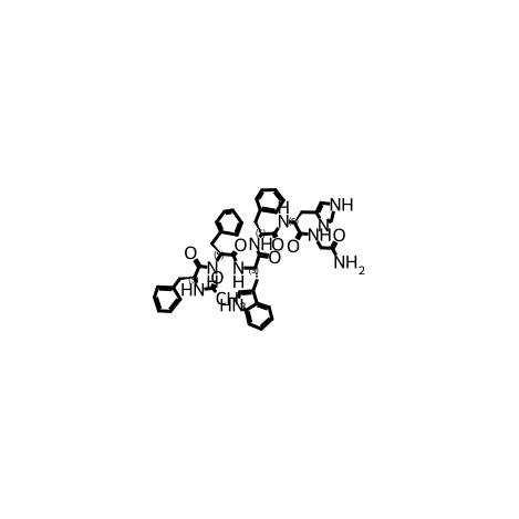 CC(=O)N[C@@H](Cc1ccccc1)C(=O)N[C@@H](Cc1ccccc1)C(=O)N[C@@H](Cc1c[nH]c2ccccc12)C(=O)N[C@@H](Cc1ccccc1)C(=O)N[C@@H](Cc1c[nH]cn1)C(=O)NCC(N)=O